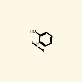 I[IH]I.Oc1ccccc1